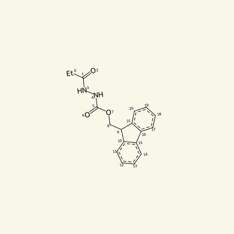 CCC(=O)NNC(=O)OCC1c2ccccc2-c2ccccc21